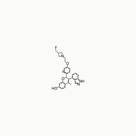 CC1=C(c2cccc3[nH]ncc23)C(c2ccc(OCCN3CC(CF)C3)cn2)Oc2cc(O)ccc21